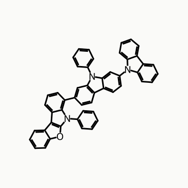 c1ccc(-n2c3cc(-c4cccc5c6c7ccccc7oc6n(-c6ccccc6)c45)ccc3c3ccc(-n4c5ccccc5c5ccccc54)cc32)cc1